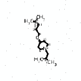 CC(C)CN1CCC(OCCC[SH](C)C)CC1